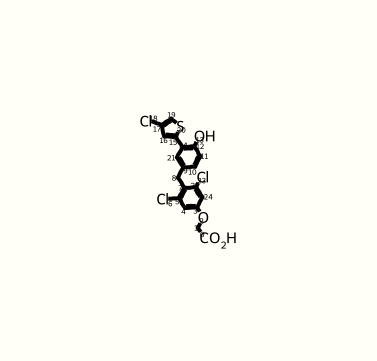 O=C(O)COc1cc(Cl)c(Cc2ccc(O)c(-c3cc(Cl)cs3)c2)c(Cl)c1